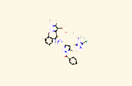 COC(=O)c1c(C)nn(C(=O)c2ccc(Cl)cc2)c1-c1snnc1C.Cc1nn(C(=O)c2ccc(Cl)cc2)c(C)c1Sc1nnc(C(F)(F)F)n1C